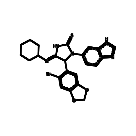 S=C1NC(=NC2CCCCC2)C(c2cc3c(cc2Br)OCO3)N1c1ccc2nc[nH]c2c1